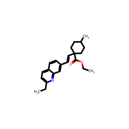 CCOC(=O)C1(/C=C/c2ccc3ccc(CC)nc3c2)CCC(C)CC1